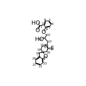 O=C(O)c1ccccc1OC[C@@H](O)CN1CC[C@@]2(Cc3ccccc3O2)CC1F